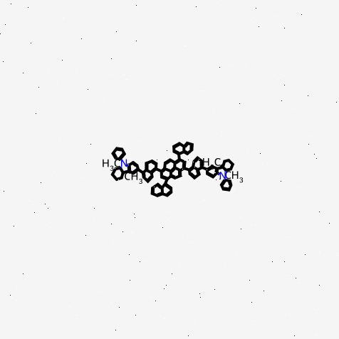 CC12CCCCC1(C)N(c1ccccc1)c1ccc(-c3cccc4c(-c5cc(-c6cccc7ccccc67)c6ccc7c(-c8cccc9c(-c%10ccc%11c(c%10)C%10(C)CCCCC%10(C)N%11c%10ccccc%10)cccc89)cc(-c8cccc9ccccc89)c8ccc5c6c87)cccc34)cc12